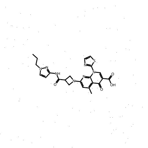 CCCn1ccc(NC(=O)C2CN(c3cc(C)c4c(=O)c(C(=O)O)cn(-c5nccs5)c4n3)C2)n1